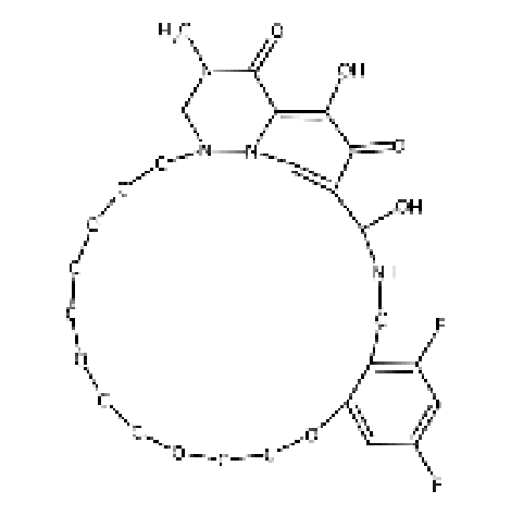 CN1CN2CCOCCOCCOCCOc3cc(F)cc(F)c3CNC(O)c3cn2c(c(O)c3=O)C1=O